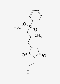 CO[Si](CCCC1CC(=O)N(CCO)C1=O)(OC)c1ccccc1